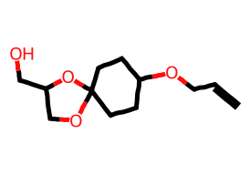 C=CCOC1CCC2(CC1)OCC(CO)O2